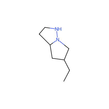 CCC1CC2CCNN2C1